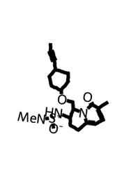 CC#CC1CCC(OCC2C(N[S+]([O-])NC)CCc3ccc(C)c(=O)n32)CC1